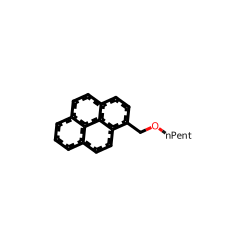 CCCCCOCc1ccc2ccc3cccc4ccc1c2c34